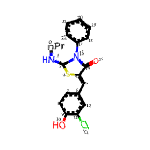 CCCNC1S/C(=C\c2ccc(O)c(Cl)c2)C(=O)N1c1ccccc1